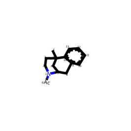 CC(=O)N1CCC2(C)CC1Cc1ccccc12